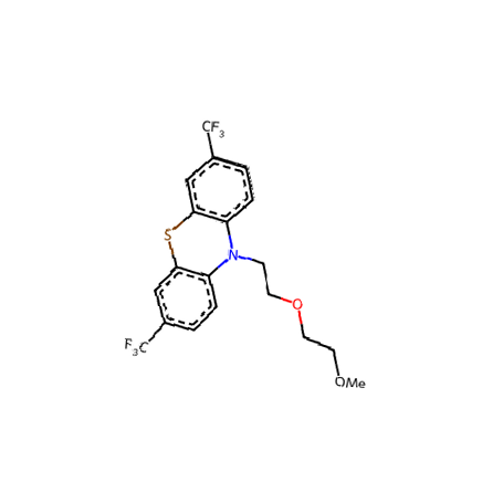 COCCOCCN1c2ccc(C(F)(F)F)cc2Sc2cc(C(F)(F)F)ccc21